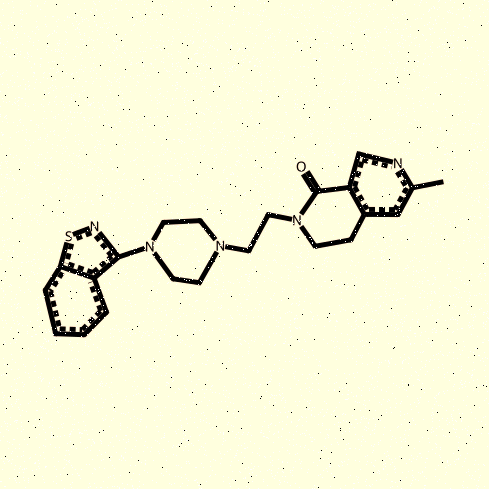 Cc1cc2c(cn1)C(=O)N(CCN1CCN(c3nsc4ccccc34)CC1)CC2